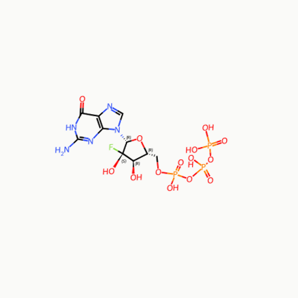 Nc1nc2c(ncn2[C@@H]2O[C@H](COP(=O)(O)OP(=O)(O)OP(=O)(O)O)[C@@H](O)[C@]2(O)F)c(=O)[nH]1